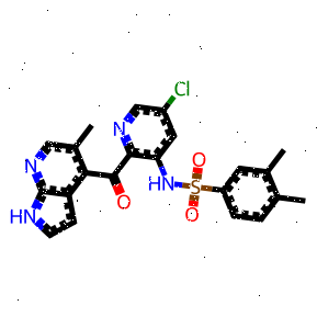 Cc1ccc(S(=O)(=O)Nc2cc(Cl)cnc2C(=O)c2c(C)cnc3[nH]ccc23)cc1C